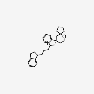 c1ccc([C@]2(CCCCCC3CCc4ccccc43)CCOC3(CCCC3)C2)nc1